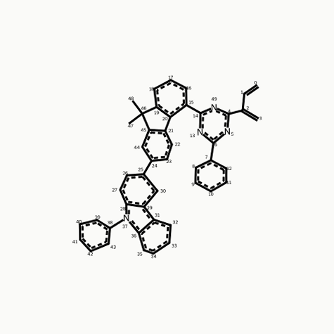 C=CC(=C)c1nc(-c2ccccc2)nc(-c2cccc3c2-c2ccc(-c4ccc5c(c4)c4ccccc4n5-c4ccccc4)cc2C3(C)C)n1